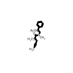 CC#CC[C@H](C)C(=O)N(C)C[C@H](OC(C)=O)c1ccccc1